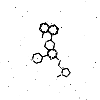 Cc1cccc2cccc(C3Cc4nc(OC[C@@H]5CCCN5C)nc(C5CCNCC5)c4CO3)c12